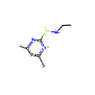 CCNSc1nc(C)cc(C)n1